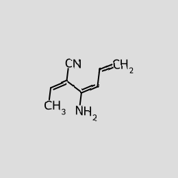 C=C/C=C(N)\C(C#N)=C/C